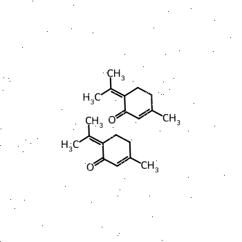 CC1=CC(=O)C(=C(C)C)CC1.CC1=CC(=O)C(=C(C)C)CC1